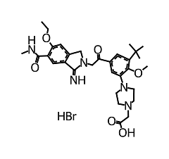 Br.CCOc1cc2c(cc1C(=O)NC)C(=N)N(CC(=O)c1cc(N3CCN(CC(=O)O)CC3)c(OC)c(C(C)(C)C)c1)C2